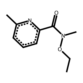 CCON(C)C(=O)c1cccc(C)n1